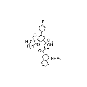 CC(=O)Nc1cc(C(=O)NCC(O)(c2cc3c(c(-c4ccc(F)cc4)n2)OC[C@]3(C)C(N)=O)C(F)(F)F)cc2cccnc12